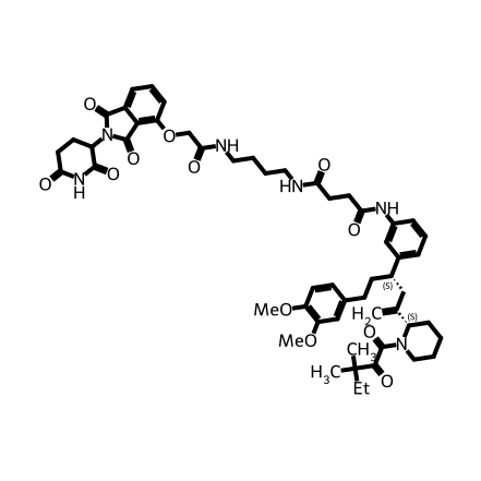 C=C(C[C@H](CCc1ccc(OC)c(OC)c1)c1cccc(NC(=O)CCC(=O)NCCCCNC(=O)COc2cccc3c2C(=O)N(C2CCC(=O)NC2=O)C3=O)c1)[C@@H]1CCCCN1C(=O)C(=O)C(C)(C)CC